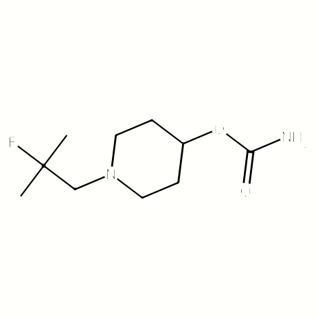 CC(C)(F)CN1CCC(OC(N)=O)CC1